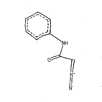 [N-]=[N+]=CC(=O)Nc1ccccc1